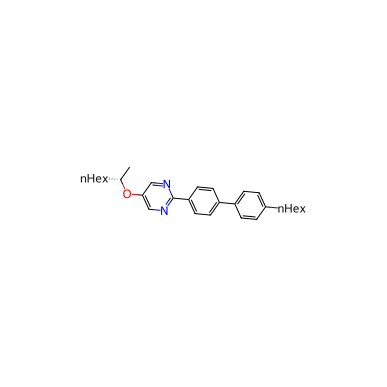 CCCCCCc1ccc(-c2ccc(-c3ncc(O[C@@H](C)CCCCCC)cn3)cc2)cc1